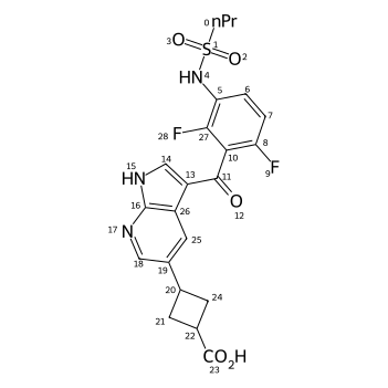 CCCS(=O)(=O)Nc1ccc(F)c(C(=O)c2c[nH]c3ncc(C4CC(C(=O)O)C4)cc23)c1F